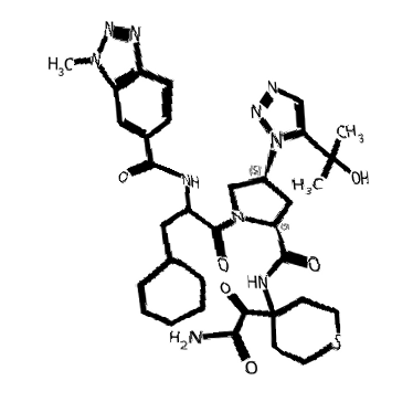 Cn1nnc2ccc(C(=O)NC(CC3CCCCC3)C(=O)N3C[C@@H](n4nncc4C(C)(C)O)C[C@H]3C(=O)NC3(C(=O)C(N)=O)CCSCC3)cc21